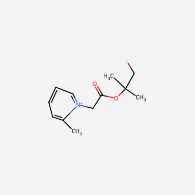 Cc1cccc[n+]1CC(=O)OC(C)(C)CI